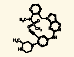 C[C@H]1CN(c2ccc(Nc3ncc4ccn(Cc5cccnc5N(C)S(C)(=O)=O)c4n3)cc2C#N)CCN1